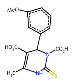 COc1cccc(C2C(C(=O)O)=C(C)NC(=S)N2C(=O)O)c1